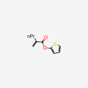 C=C(CCC)C(=O)Oc1cccs1